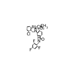 COC1(C)C(=O)N(Cc2c(F)cccc2Cl)c2cc(C(=O)NCc3c(F)cc(F)cc3F)ccc21